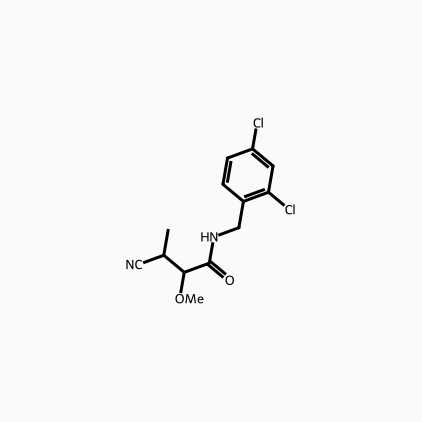 COC(C(=O)NCc1ccc(Cl)cc1Cl)C(C)C#N